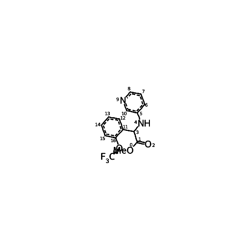 COC(=O)C(Nc1cccnc1)c1ccccc1OC(F)(F)F